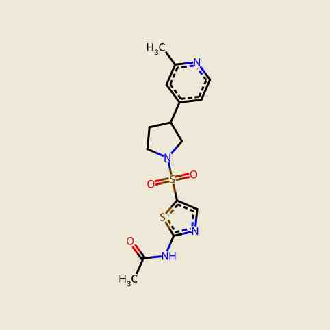 CC(=O)Nc1ncc(S(=O)(=O)N2CCC(c3ccnc(C)c3)C2)s1